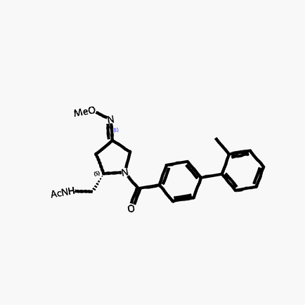 CO/N=C1\C[C@@H](CNC(C)=O)N(C(=O)c2ccc(-c3ccccc3C)cc2)C1